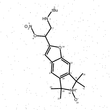 CC(C)(C)NCC(O[N+](=O)[O-])c1cc2cc3c(cc2o1)C(C)(C)[NH+]([O-])C3(C)C